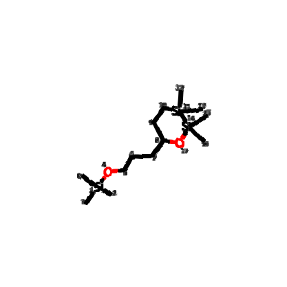 C[Si](C)(C)OCCCC1CC[Si](C)(C)[Si](C)(C)O1